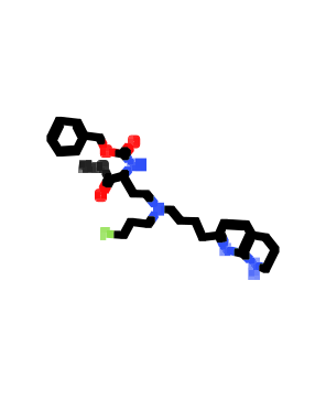 COC(=O)C(CCN(CCCF)CCCCc1ccc2c(n1)NCCC2)NC(=O)OCc1ccccc1